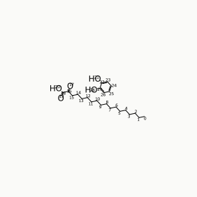 CCCCCCCCCCCCCCCCC(=O)C(=O)O.Oc1ccccc1O